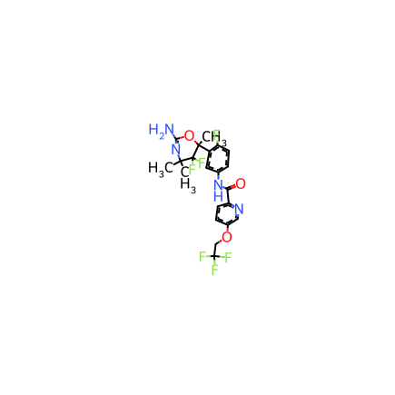 CC1(C)N=C(N)O[C@](C)(c2cc(NC(=O)c3ccc(OCC(F)(F)F)cn3)ccc2F)C1(F)F